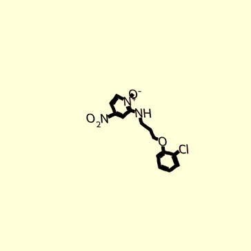 O=[N+]([O-])c1cc[n+]([O-])c(NCCCOc2ccccc2Cl)c1